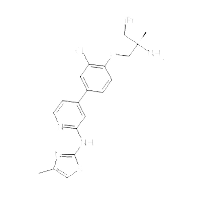 Cc1csc(Nc2cc(-c3ccc(OC[C@@](C)(N)CC(C)C)c(Cl)c3)ccn2)n1